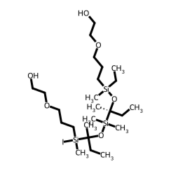 CCC(C)(O[Si](C)(C)[C@](C)(CC)O[Si](C)(CC)CCCOCCO)[Si](C)(I)CCCOCCO